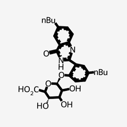 CCCCc1ccc(O[C@@H]2OC(C(=O)O)[C@@H](O)C(O)C2O)c(-c2nc3ccc(CCCC)cc3c(=O)[nH]2)c1